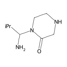 CC(C)C(N)N1CCNCC1=O